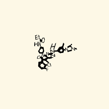 CCC(=O)NC1CCC(n2c(=O)c(-c3cccc(F)c3Cl)c(C)c3cnc(Nc4ccc(N5CCN(C)[C@H](C)C5)c(C)c4)nc32)CC1